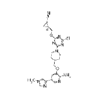 Cn1cnc(-c2cnc(N)c(OCC3CCN(c4nc(Cl)nc(OC[C@H]5CC5C#N)n4)CC3)c2)c1